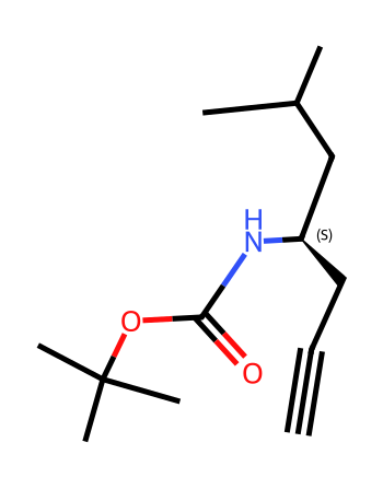 C#CC[C@H](CC(C)C)NC(=O)OC(C)(C)C